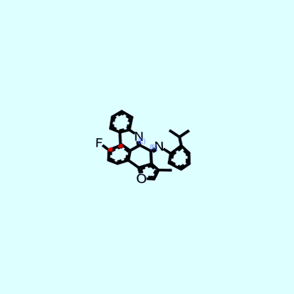 Cc1coc2c1C(=N\c1ccccc1C(C)C)/C(=N/c1ccccc1C(C)C)c1cc(F)ccc1-2